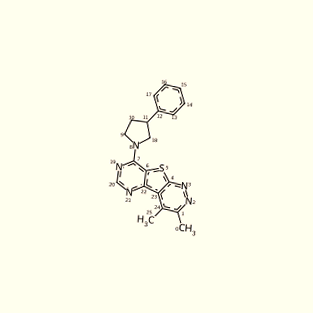 Cc1nnc2sc3c(N4CCC(c5ccccc5)C4)ncnc3c2c1C